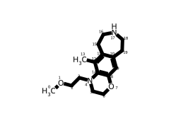 COCCN1CCOc2cc3c(c(C)c21)CCNCC3